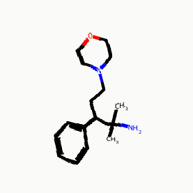 CC(C)(N)C(CCN1CCOCC1)c1ccccc1